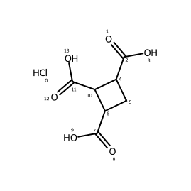 Cl.O=C(O)C1CC(C(=O)O)C1C(=O)O